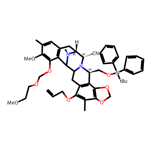 C=CCOc1c(C)c2c(c3c1CC1C4c5c(cc(C)c(OC)c5OCOCCOC)C[C@H]([C@H](C#N)N1[C@H]3CO[Si](c1ccccc1)(c1ccccc1)C(C)(C)C)N4C)OCO2